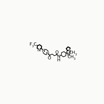 CN(C)C1(c2cccs2)CCC(NC(=O)CCC(=O)N2CCN(c3ccc(C(F)(F)F)cn3)CC2)CC1